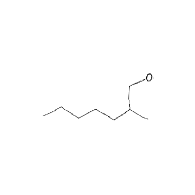 CCCCCC(C)C[O]